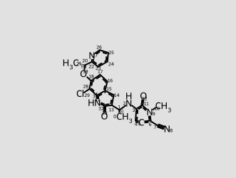 C[C@H](Nc1ccc(C#N)n(C)c1=O)c1cc2ccc(O[C@H](C)c3ccccn3)c(Cl)c2[nH]c1=O